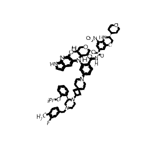 Cc1ccc(CN2CCN(C3CC4(CCN(c5ccc(C(=O)NS(=O)(=O)c6cc7c(c([N+](=O)[O-])c6)N[C@H](C6CCOCC6)CO7)c(N6c7cc8cc[nH]c8nc7O[C@H]7COCC[C@@H]76)c5)CC4)C3)[C@H](c3ccccc3OC(C)C)C2)cc1F